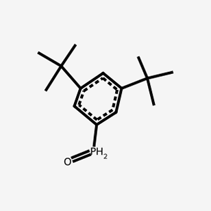 CC(C)(C)c1cc([PH2]=O)cc(C(C)(C)C)c1